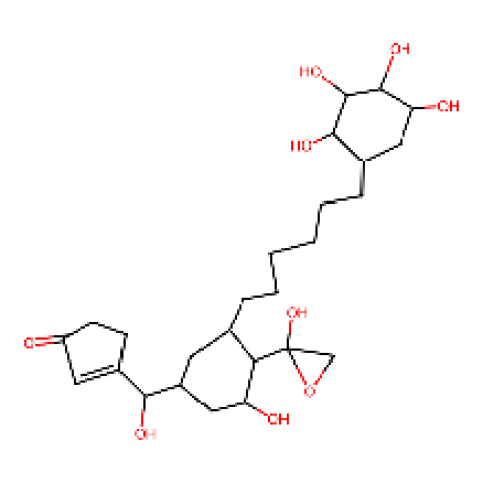 O=C1C=C(C(O)C2CC(O)C(C3(O)CO3)C(CCCCCCC3CC(O)C(O)C(O)C3O)C2)CC1